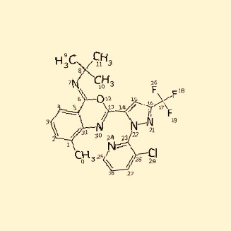 Cc1cccc2c(=NC(C)(C)C)oc(-c3cc(C(F)(F)F)nn3-c3ncccc3Cl)nc12